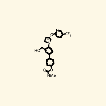 CNC(=O)Oc1ccc(-c2ccc(N3CC[C@H](Oc4ccc(C(F)(F)F)cn4)C3)c(CO)c2)cc1